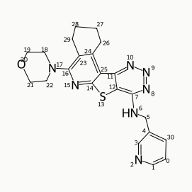 c1cncc(CNc2nnnc3c2sc2nc(N4CCOCC4)c4c(c23)CCCC4)c1